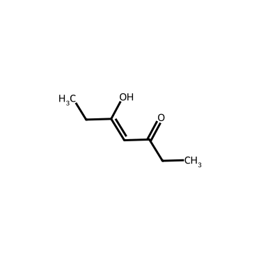 CCC(=O)/C=C(\O)CC